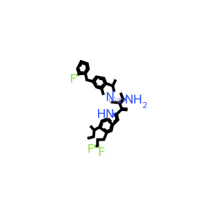 C=C(C(/C=N\CC(C)c1ccc(Cc2ccccc2F)cc1C)=C(/C)N)c1cc2cc(CCC(F)F)c(C(C)CC)cc2[nH]1